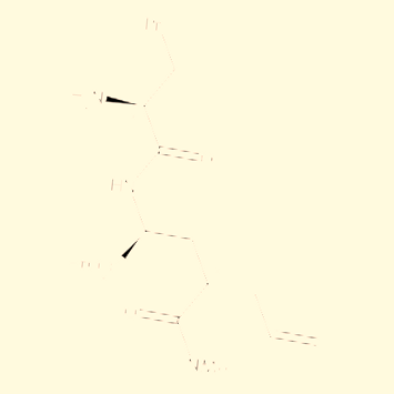 C=CC[C@@H](C[C@H](NC(=O)[C@@H](N)CC(C)C)C(=O)OCC)C(=O)NC